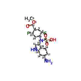 COC(=O)c1cc(F)c(N(c2c[nH]c3cc(N)ccc23)S(=O)(=O)O)cc1F